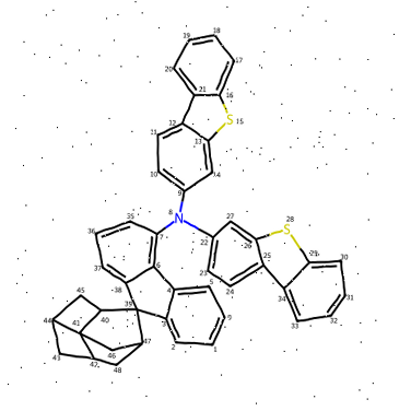 c1ccc2c(c1)-c1c(N(c3ccc4c(c3)sc3ccccc34)c3ccc4c(c3)sc3ccccc34)cccc1C21C2CC3CC(C2)CC1C3